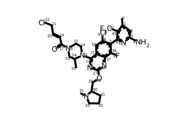 Cc1cc(N)nc(-c2c(Cl)cc3c(N4CCN(C(=O)/C=C/CCl)CC4C)nc(OCC4CCCN4C)nc3c2F)c1C(F)(F)F